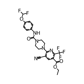 CCOC(=O)c1cc(C#N)c(N2CCN(C(=O)Nc3ccc(OC(F)F)cc3)CC2)nc1C(F)(F)F